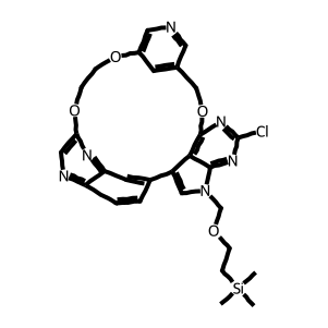 C[Si](C)(C)CCOCn1cc2c3c(nc(Cl)nc31)OCc1cncc(c1)OCCOc1cnc3ccc-2cc3n1